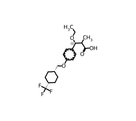 CCO[C@H](c1ccc(OC[C@H]2CC[C@@H](C(F)(F)F)CC2)cc1)C(C)C(=O)O